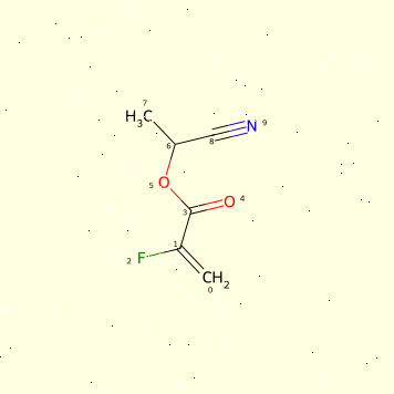 C=C(F)C(=O)OC(C)C#N